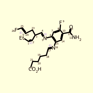 CC/C=C\C(/C=N/c1cc(F)c(C(N)=O)cc1/N=C/CCCCC(=O)O)C/C=C/F